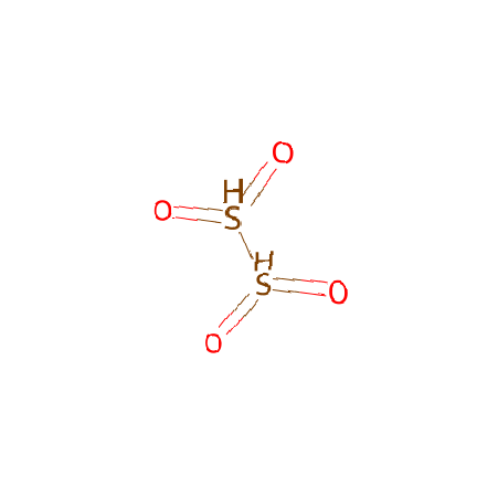 O=[SH](=O)[SH](=O)=O